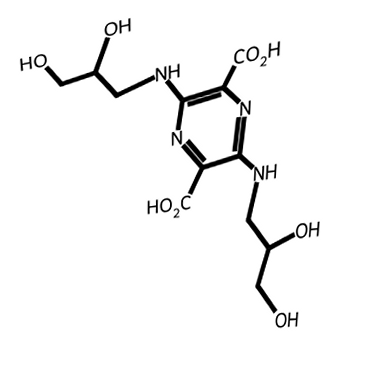 O=C(O)c1nc(NCC(O)CO)c(C(=O)O)nc1NCC(O)CO